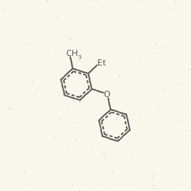 CCc1c(Oc2ccccc2)[c]ccc1C